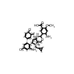 COC1=CC(N)C(C2N[C@@H]3[C@@H](C4=CC=CC(Cl)C4F)[C@H](c4ccc(Cl)cc4N)N(CC4CC4)[C@@H]3CO2)C=C1C(=O)O